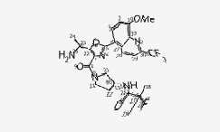 COc1ccc(-c2nc(C(=O)N3CC[C@@H](NC(=O)C(C)(C)F)C3)c([C@H](C)N)o2)c2ccc(C(F)(F)F)nc12